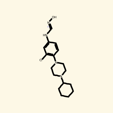 O/N=C/Nc1ccc(N2CCN(C3CCCCC3)CC2)c(Cl)c1